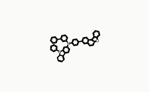 C1=CCC2C(=C1)c1ccc(N(c3ccc(-c4ccc5c(ccc6oc7ccccc7c65)c4)cc3)c3cccc(-c4ccccc4)c3)cc1N2c1ccccc1